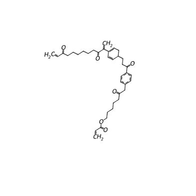 C=CC(=O)CCCCCCC(=O)C(=C)C1=CCC(CCC(=O)c2ccc(CC(=O)CCCCCOC(=O)C=C)cc2)C=C1